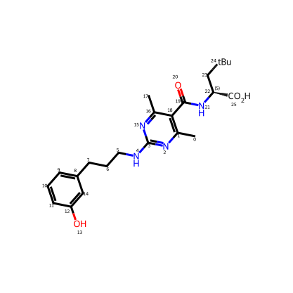 Cc1nc(NCCCc2cccc(O)c2)nc(C)c1C(=O)N[C@@H](CC(C)(C)C)C(=O)O